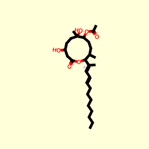 CCCCCCCCC=C/C=C(\C)C1OC(=O)CC(O)CCC(C)(O)C(OC(C)=O)CCC1C